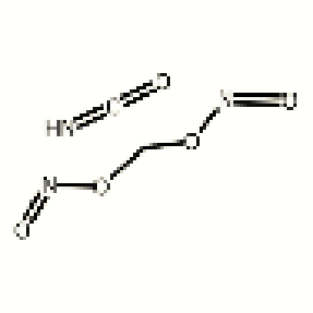 N=C=O.O=NOCON=O